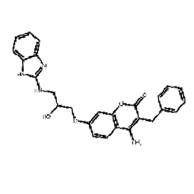 Cc1c(Cc2ccccc2)c(=O)oc2cc(OCC(O)CNc3nc4ccccc4[nH]3)ccc12